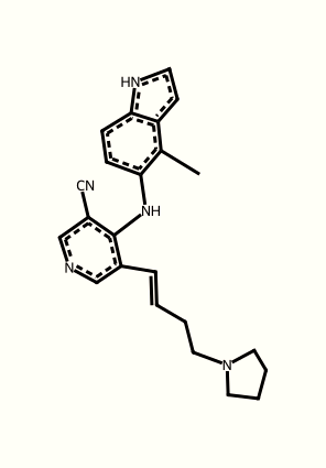 Cc1c(Nc2c(C#N)cncc2/C=C/CCN2CCCC2)ccc2[nH]ccc12